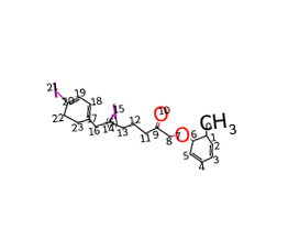 CC1C=CC=CC1OCC(=O)CCC[C@H](I)CC1=CC=C(I)CC1